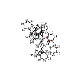 c1ccc(-c2ccccc2N(c2ccc3c(c2)C2(c4ccccc4-c4ccccc4-3)c3ccccc3-c3cc4sc5ccccc5c4cc32)c2cccc3c2oc2ccccc23)cc1